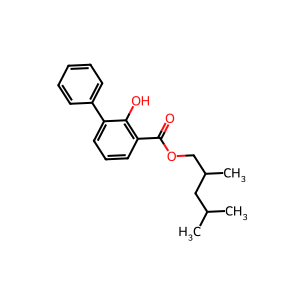 CC(C)CC(C)COC(=O)c1cccc(-c2ccccc2)c1O